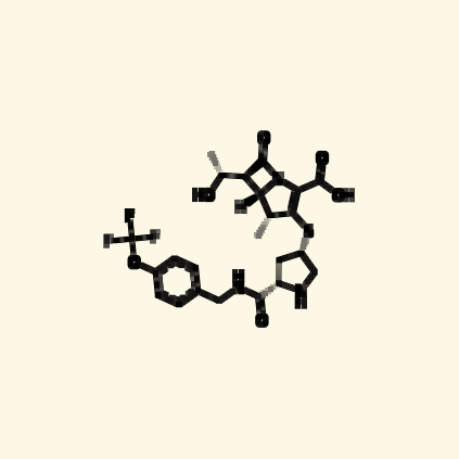 C[C@@H](O)[C@H]1C(=O)N2C(C(=O)O)=C(S[C@@H]3CN[C@H](C(=O)NCc4ccc(OC(F)(F)F)cc4)C3)[C@H](C)[C@H]12